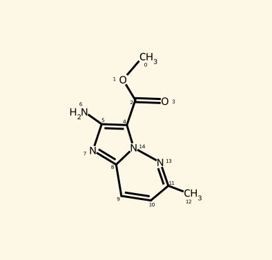 COC(=O)c1c(N)nc2ccc(C)nn12